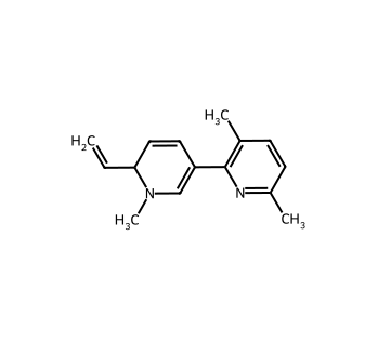 C=CC1C=CC(c2nc(C)ccc2C)=CN1C